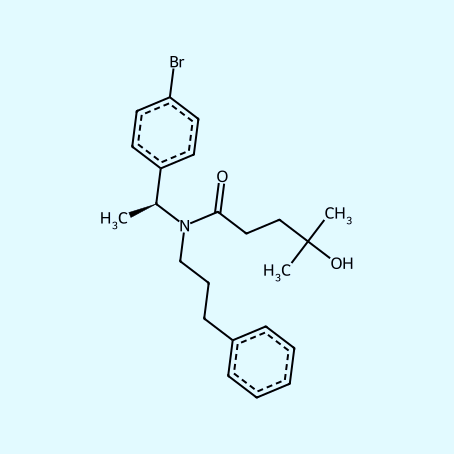 C[C@@H](c1ccc(Br)cc1)N(CCCc1ccccc1)C(=O)CCC(C)(C)O